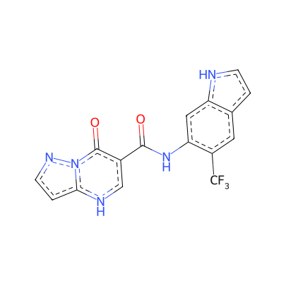 O=C(Nc1cc2[nH]ccc2cc1C(F)(F)F)c1c[nH]c2ccnn2c1=O